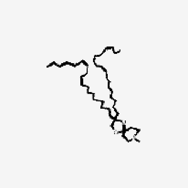 CC/C=C\C/C=C\C/C=C\CCCCCCCCC1(CCCCCCCC/C=C\C/C=C\CCCCC)COC2(CCN(C)CC2)O1